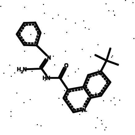 CC(C)(C)c1ccc2nccc(C(=O)NC(N)=Nc3ccccc3)c2c1